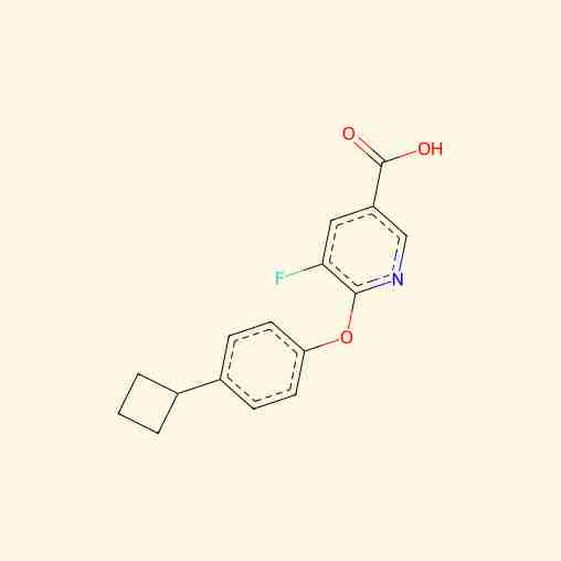 O=C(O)c1cnc(Oc2ccc(C3CCC3)cc2)c(F)c1